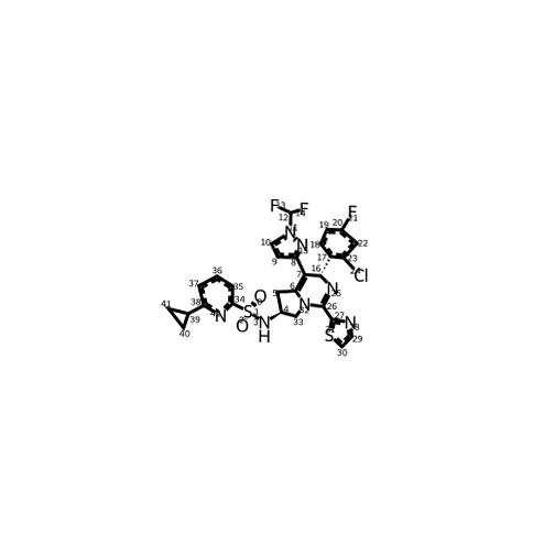 O=S(=O)(N[C@H]1CC2=C(c3ccn(C(F)F)n3)[C@H](c3ccc(F)cc3Cl)N=C(c3nccs3)N2C1)c1cccc(C2CC2)n1